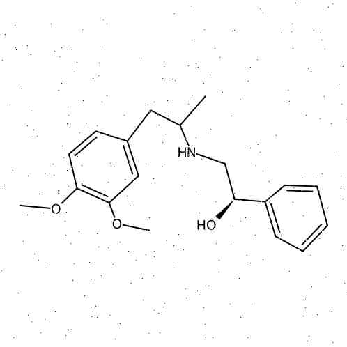 COc1ccc(CC(C)NC[C@H](O)c2ccccc2)cc1OC